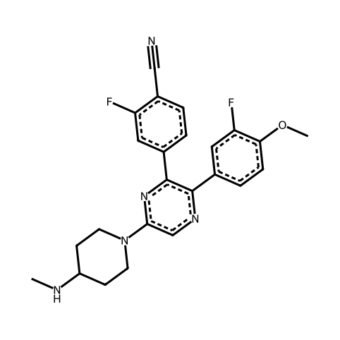 CNC1CCN(c2cnc(-c3ccc(OC)c(F)c3)c(-c3ccc(C#N)c(F)c3)n2)CC1